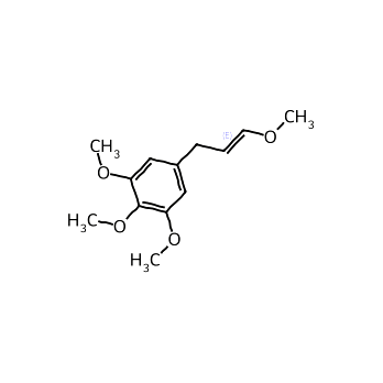 CO/C=C/Cc1cc(OC)c(OC)c(OC)c1